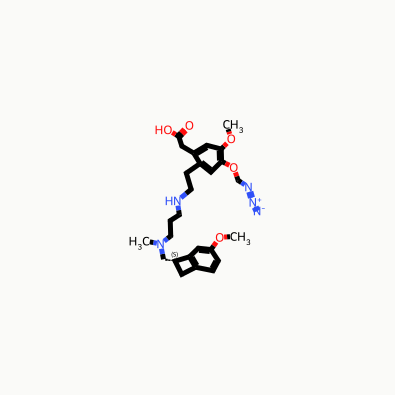 COc1ccc2c(c1)[C@@H](CN(C)CCCNCCc1cc(OCN=[N+]=[N-])c(OC)cc1CC(=O)O)C2